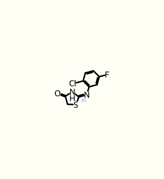 O=C1CS/C(=N/c2cc(F)ccc2Cl)N1